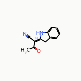 CC(=O)/C(C#N)=C1\Cc2ccccc2N1